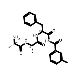 C[C@H](N)C(=O)N[C@@H](C)C(=O)N[C@@H](Cc1ccccc1)C(=O)NC(=O)c1cccc(I)c1